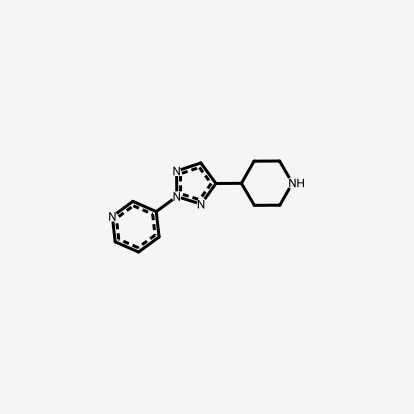 c1cncc(-n2ncc(C3CCNCC3)n2)c1